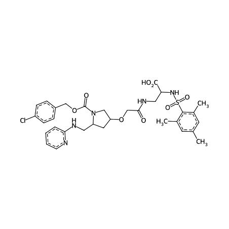 Cc1cc(C)c(S(=O)(=O)NC(CNC(=O)COC2CC(CNc3ccccn3)N(C(=O)OCc3ccc(Cl)cc3)C2)C(=O)O)c(C)c1